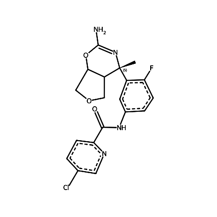 C[C@]1(c2cc(NC(=O)c3ccc(Cl)cn3)ccc2F)N=C(N)OC2COCC21